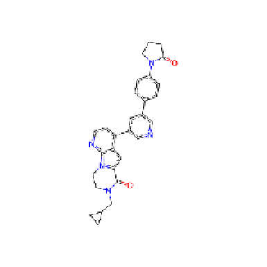 O=C1c2cc3c(-c4cncc(-c5ccc(N6CCCC6=O)cc5)c4)ccnc3n2CCN1CC1CC1